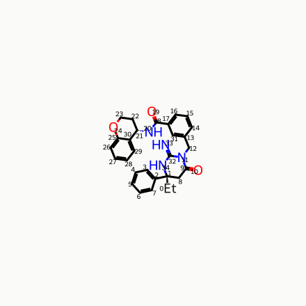 CC[C@]1(c2ccccc2)CC(=O)N(Cc2cccc(C(=O)N[C@H]3CCOc4ccccc43)c2)C(=N)N1